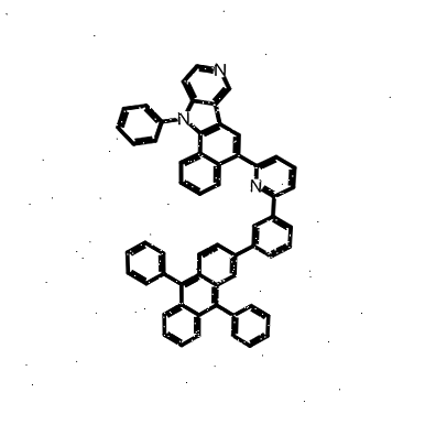 c1ccc(-c2c3ccccc3c(-c3ccccc3)c3cc(-c4cccc(-c5cccc(-c6cc7c8cnccc8n(-c8ccccc8)c7c7ccccc67)n5)c4)ccc23)cc1